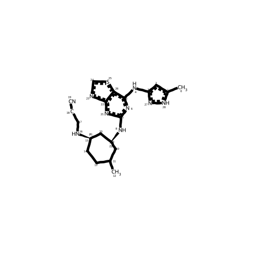 Cc1cc(Nc2nc(N[C@H]3CC(C)CC[C@@H](NCCC#N)C3)nc3ncsc23)n[nH]1